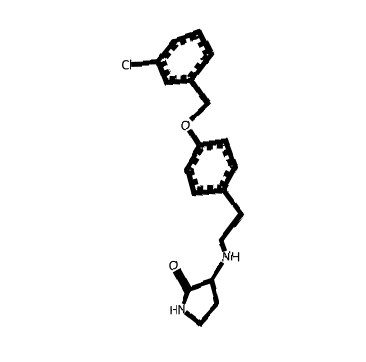 O=C1NCCC1NCCc1ccc(OCc2cccc(Cl)c2)cc1